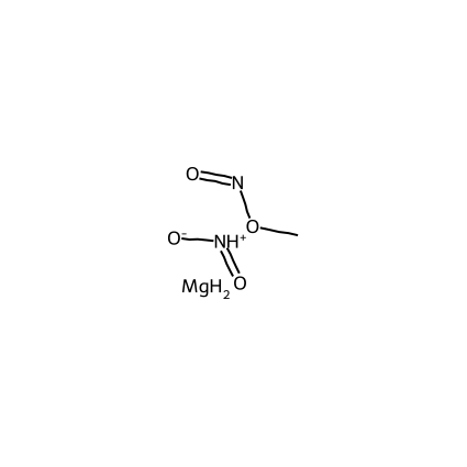 CON=O.O=[NH+][O-].[MgH2]